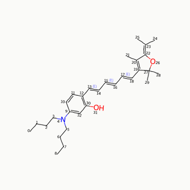 CCCCN(CCCC)c1ccc(/C=C/C=C/C=C/C2=C(C)C(=C(C)C)OC2(C)C)c(O)c1